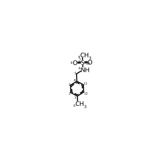 Cc1ccc(CNS(C)(=O)=O)cc1